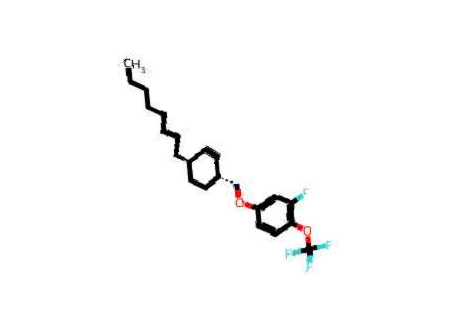 CCCCCCCC[C@H]1CC[C@H](COc2ccc(OC(F)(F)F)c(F)c2)CC1